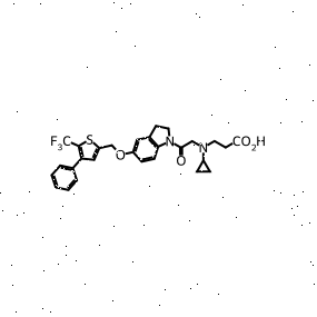 O=C(O)CCN(CC(=O)N1CCc2cc(OCc3cc(-c4ccccc4)c(C(F)(F)F)s3)ccc21)C1CC1